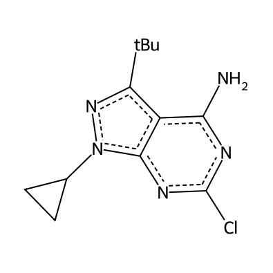 CC(C)(C)c1nn(C2CC2)c2nc(Cl)nc(N)c12